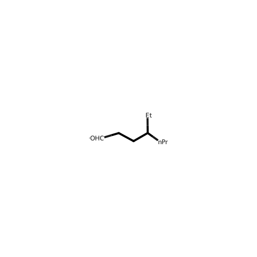 CCCC(CC)CC[C]=O